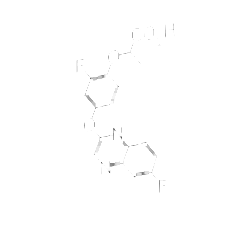 CC(Oc1ccc(Oc2cnc3cc(F)ccc3n2)cc1F)C(=O)O